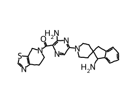 Nc1nc(N2CCC3(CC2)Cc2ccccc2C3N)cnc1C(=O)N1CCc2ncsc2C1